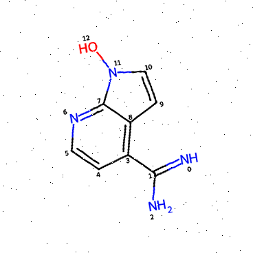 N=C(N)c1ccnc2c1ccn2O